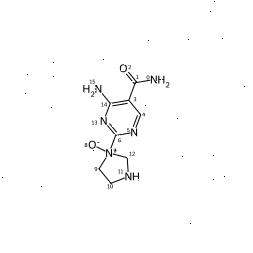 NC(=O)c1cnc([N+]2([O-])CCNC2)nc1N